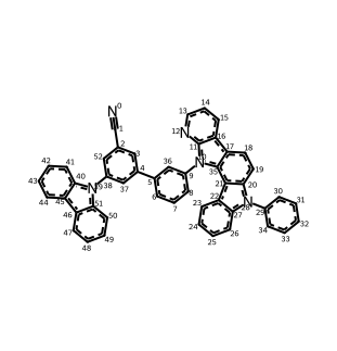 N#Cc1cc(-c2cccc(-n3c4ncccc4c4ccc5c(c6ccccc6n5-c5ccccc5)c43)c2)cc(-n2c3ccccc3c3ccccc32)c1